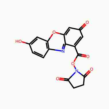 O=C(ON1C(=O)CCC1=O)c1cc(=O)cc2oc3cc(O)ccc3nc1-2